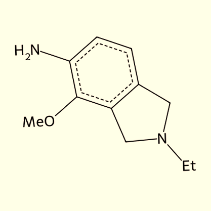 CCN1Cc2ccc(N)c(OC)c2C1